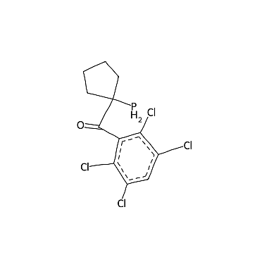 O=C(c1c(Cl)c(Cl)cc(Cl)c1Cl)C1(P)CCCC1